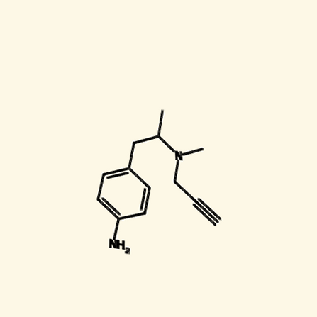 C#CCN(C)C(C)Cc1ccc(N)cc1